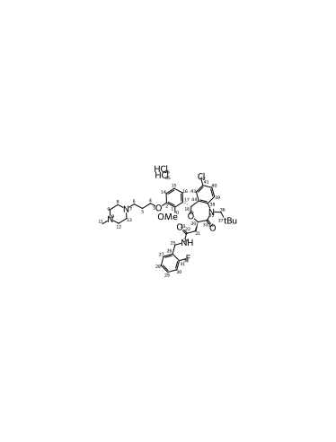 COc1c(OCCCN2CCN(C)CC2)cccc1[C@H]1O[C@H](CC(=O)NCc2ccccc2F)C(=O)N(CC(C)(C)C)c2ccc(Cl)cc21.Cl.Cl